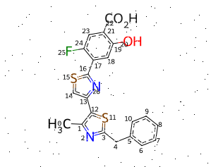 Cc1nc(Cc2ccccc2)sc1-c1csc(-c2cc(O)c(C(=O)O)cc2F)n1